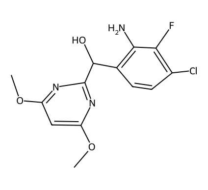 COc1cc(OC)nc(C(O)c2ccc(Cl)c(F)c2N)n1